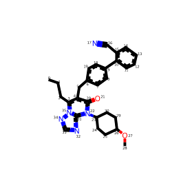 CCCc1c(Cc2ccc(-c3ccccc3C#N)cc2)c(=O)n(C2CCC(OC)CC2)c2ncnn12